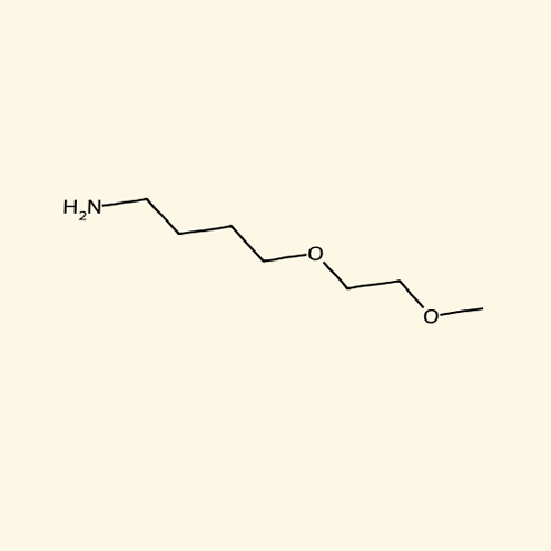 COCCOCCCCN